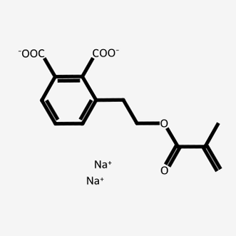 C=C(C)C(=O)OCCc1cccc(C(=O)[O-])c1C(=O)[O-].[Na+].[Na+]